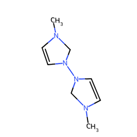 CN1C=CN(N2C=CN(C)C2)C1